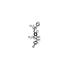 COc1cc(CCN[C@@H](C)CN2CCOCC2)c(Cl)cc1NC(=O)Nc1cnc(C#N)cn1